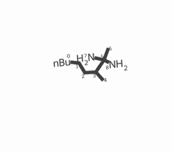 CCCCCCC(C)C(C)(N)N